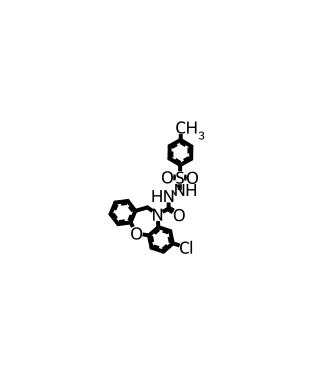 Cc1ccc(S(=O)(=O)NNC(=O)N2Cc3ccccc3Oc3ccc(Cl)cc32)cc1